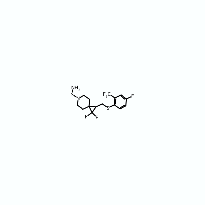 NSN1CCC2(CC1)C(CSc1ccc(F)cc1C(F)(F)F)C2(F)F